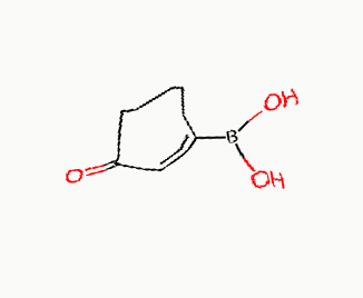 O=C1C=C(B(O)O)CC1